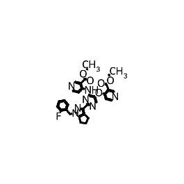 CCOC(=O)c1cnccc1Nc1nc(-c2nn(Cc3ccccc3F)c3c2CCC3)ncc1Oc1ccncc1C(=O)OCC